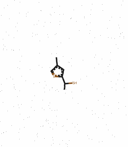 Cc1csc(C(C)S)c1